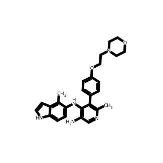 Cc1ncc(N)c(Nc2ccc3[nH]ccc3c2C)c1-c1ccc(OCCN2CCOCC2)cc1